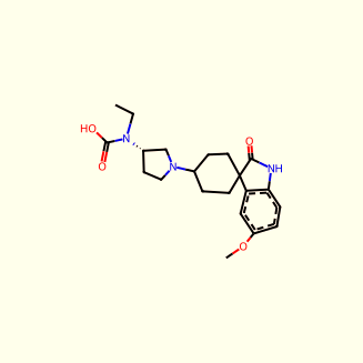 CCN(C(=O)O)[C@H]1CCN(C2CCC3(CC2)C(=O)Nc2ccc(OC)cc23)C1